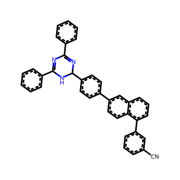 N#Cc1cccc(-c2cccc3cc(-c4ccc(C5N=C(c6ccccc6)N=C(c6ccccc6)N5)cc4)ccc23)c1